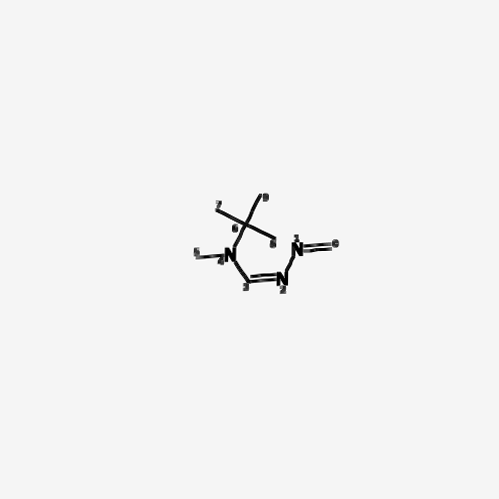 C=N/N=C\N(C)C(C)(C)C